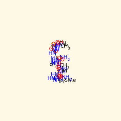 CSCC[C@H](NC(=O)[C@H](CC(C)C)NC(=O)[C@H](Cc1cnc[nH]1)NC(=O)CNC(=O)[C@@H](NC(=O)[C@H](C)NC(=O)[C@H](Cc1c[nH]c2ccccc12)NC(=O)[C@H](CCC(N)=O)NC(=O)CCCCNC(=O)CNC(=O)C(CS)NC(=O)[C@H](CO)NC(=O)CN(C)C)C(C)C)C(N)=O